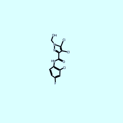 O=C(Nc1ccc(F)cc1Cl)c1nn(CO)c(Cl)c1Cl